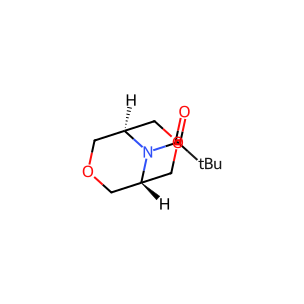 CC(C)(C)C(=O)N1[C@H]2COC[C@H]1COC2